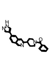 O=C(c1ccccc1)N1CCC(c2cc3cc(-c4cn[nH]c4)ccc3cn2)CC1